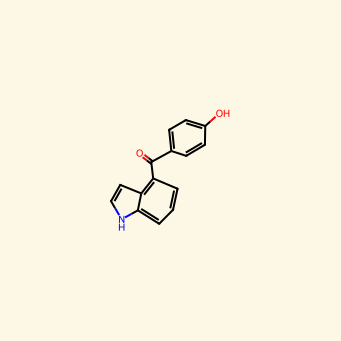 O=C(c1ccc(O)cc1)c1cccc2[nH]ccc12